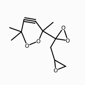 CC1(C)C#CC(C)(C2(CC3CO3)OO2)OO1